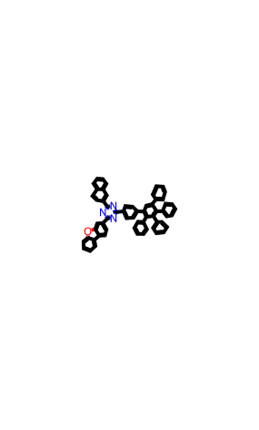 c1ccc(-c2cc(-c3ccc(-c4nc(-c5ccc6ccccc6c5)nc(-c5ccc6c(c5)oc5ccccc56)n4)cc3)c(-c3ccccc3)c(-c3ccccc3)c2-c2ccccc2)cc1